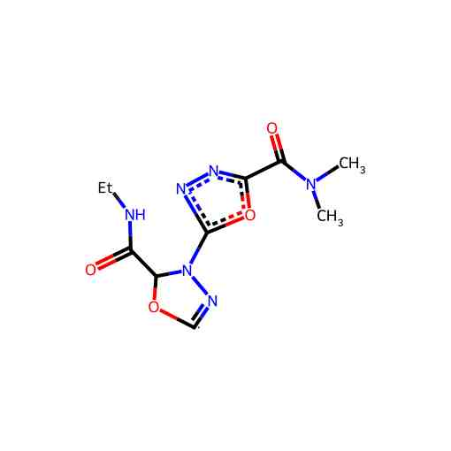 CCNC(=O)C1O[C]=NN1c1nnc(C(=O)N(C)C)o1